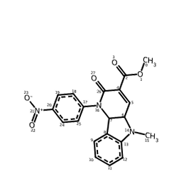 COC(=O)C1=CC2C(c3ccccc3N2C)N(c2ccc([N+](=O)[O-])cc2)C1=O